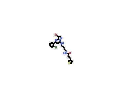 O=C(/C=C/c1ccsc1)NCCCCNc1cc(-c2ccccc2Cl)nc2c(Br)cnn12